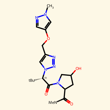 CNC(=O)C1CC(O)CN1C(=O)[C@@H](n1cc(COc2cnn(C)c2)nn1)C(C)(C)C